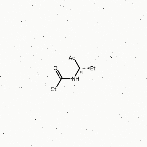 CCC(=O)N[C@@H](CC)C(C)=O